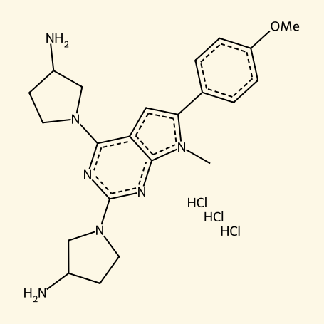 COc1ccc(-c2cc3c(N4CCC(N)C4)nc(N4CCC(N)C4)nc3n2C)cc1.Cl.Cl.Cl